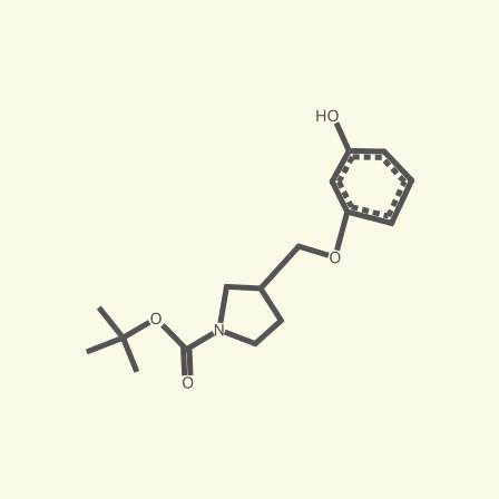 CC(C)(C)OC(=O)N1CCC(COc2cccc(O)c2)C1